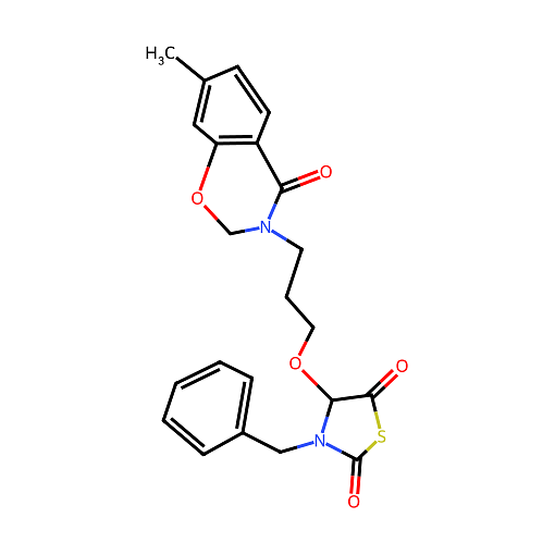 Cc1ccc2c(c1)OCN(CCCOC1C(=O)SC(=O)N1Cc1ccccc1)C2=O